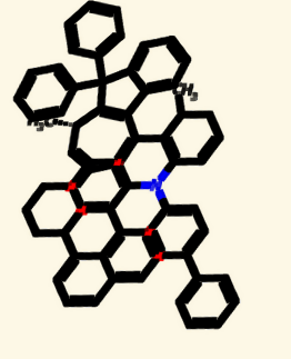 CC1CC=CC(N(c2ccc(-c3ccccc3)cc2)c2ccccc2-c2cccc3cccc(C4CCCCC4)c23)=C1C1=CC=C[C@H](C)C2=C1c1ccccc1C2(c1ccccc1)c1ccccc1